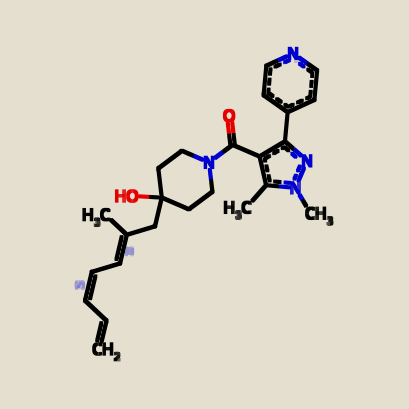 C=C/C=C\C=C(/C)CC1(O)CCN(C(=O)c2c(-c3ccncc3)nn(C)c2C)CC1